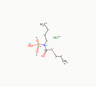 CCCCN(C(=O)SCCC)S(=O)(=O)O.Cl